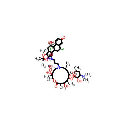 CC[C@H]1OC(=O)[C@H](C)C(O)[C@H](C)C(O[C@@H]2O[C@H](C)C[C@@H](N(C)C)[C@H]2O)[C@](C)(O)C[C@@H](C)CN(CCCNC(=O)[C@@]23OC(C)(C)O[C@@H]2CC2C4C[C@H](F)C5=CC(=O)C=C[C@]5(C)[C@@]4(F)[C@@H](O)C[C@@]23C)[C@H](C)[C@@H](O)C1(C)O